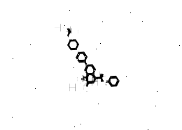 Cc1cc(C(=O)Nc2ccccc2)c2ccc(-c3ccc([C@H]4CC[C@H](CC(=O)O)CC4)cc3)cc2[n+]1[O-]